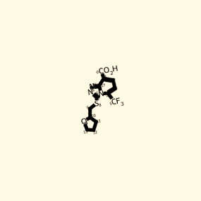 O=C(O)c1ccc(C(F)(F)F)n2c(SCC3CCCO3)nnc12